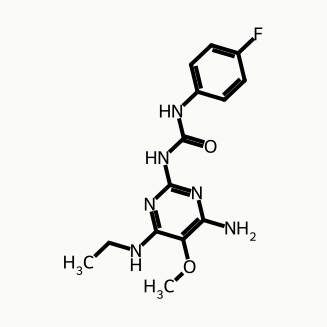 CCNc1nc(NC(=O)Nc2ccc(F)cc2)nc(N)c1OC